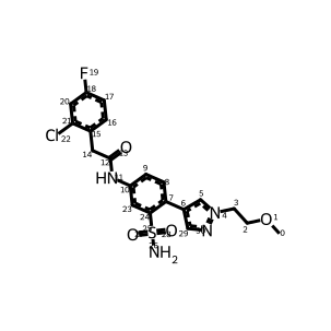 COCCn1cc(-c2ccc(NC(=O)Cc3ccc(F)cc3Cl)cc2S(N)(=O)=O)cn1